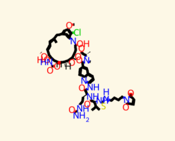 COc1cc2cc(c1Cl)N(C)C(O)C[C@H](OC(=O)[C@H](C)N(C)C(=O)c1ccc3nc(NC(=O)[C@H](CCCNC(N)=O)NC(=O)[C@@H](NC(=S)NCCCCN4C(=O)C=CC4=O)C(C)C)ccc3c1)[C@]1(C)O[C@H]1[C@H](C)[C@@H]1C[C@@](O)(NC(=O)O1)[C@H](OC)/C=C/C=C(\C)C2